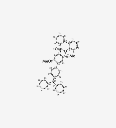 COc1cc(P2(=O)Oc3ccccc3-c3ccccc32)c(OC)cc1-c1ccc(N(c2ccccc2)c2ccccc2)cc1